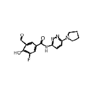 O=Cc1cc(C(=O)Nc2ccc(N3CCCC3)nn2)cc(F)c1O